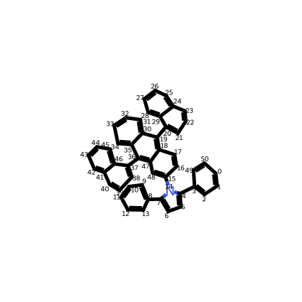 c1ccc(-c2ccc(-c3ccccc3)n2-c2ccc3c(-c4cccc5ccccc45)c4ccccc4c(-c4cccc5ccccc45)c3c2)cc1